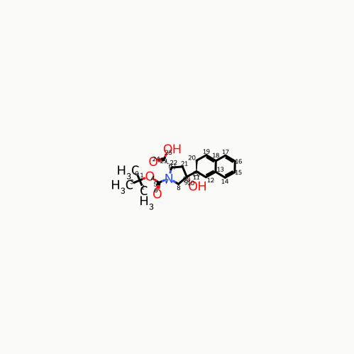 CC(C)(C)OC(=O)N1C[C@](O)([C@@H]2C=c3ccccc3=CC2)C[C@H]1C(=O)O